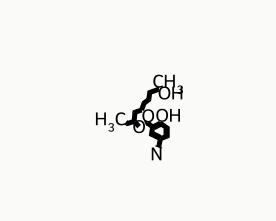 CCC1CC(CCC[C@H](C)O)OC(c2cc(C#N)ccc2O)O1